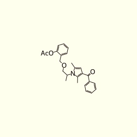 CC(=O)Oc1ccccc1COCC(C)n1c(C)cc(C(=O)c2ccccc2)c1C